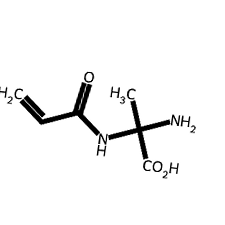 C=CC(=O)NC(C)(N)C(=O)O